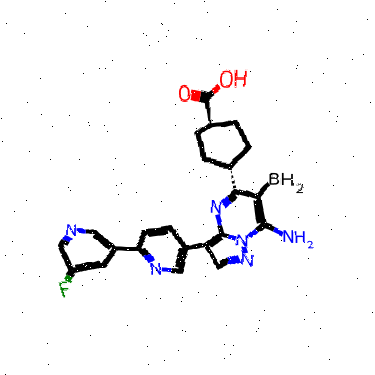 Bc1c(N)n2ncc(-c3ccc(-c4cncc(F)c4)nc3)c2nc1[C@H]1CC[C@H](C(=O)O)CC1